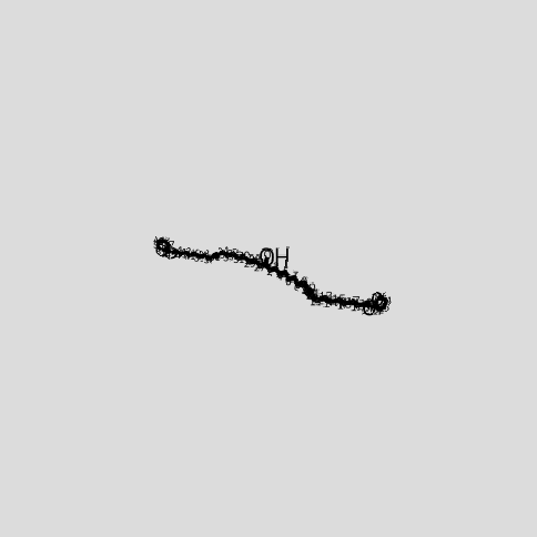 OC(CCCCCCCCC#CCCCCCCCCOC1CCCCO1)CCCCCCCCC#CCCCCCCCCOC1CCCCO1